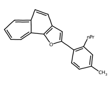 CCCc1cc(C)ccc1-c1cc2ccc3ccccc3c2o1